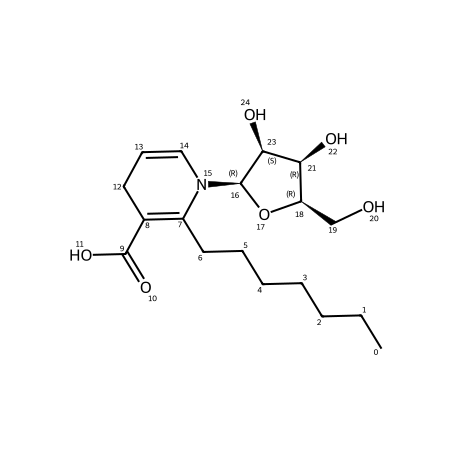 CCCCCCCC1=C(C(=O)O)CC=CN1[C@@H]1O[C@H](CO)[C@H](O)[C@@H]1O